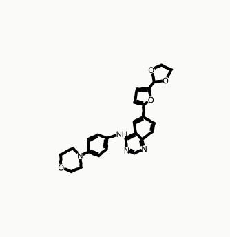 c1nc(Nc2ccc(N3CCOCC3)cc2)c2cc(-c3ccc(C4OCCO4)o3)ccc2n1